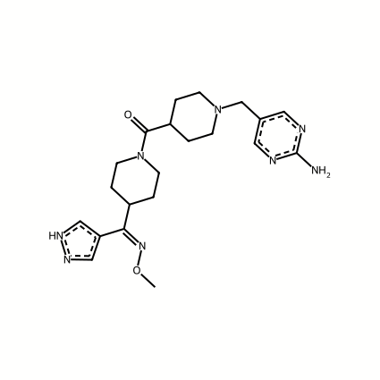 CON=C(c1cn[nH]c1)C1CCN(C(=O)C2CCN(Cc3cnc(N)nc3)CC2)CC1